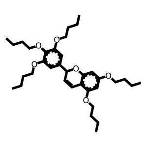 CCCCOc1cc(OCCCC)c2c(c1)OC(c1cc(OCCCC)c(OCCCC)c(OCCCC)c1)C=C2